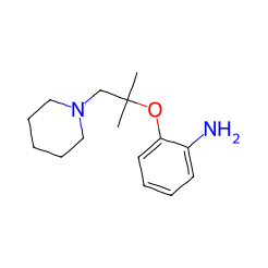 CC(C)(CN1CCCCC1)Oc1ccccc1N